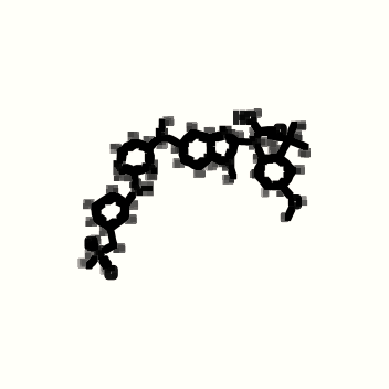 COc1ccc(N(C(=O)O)c2nc3cc(N(C)c4ccnc(Nc5cccc(CS(C)(=O)=O)c5)n4)ccc3n2C)c(C(C)(C)C)c1